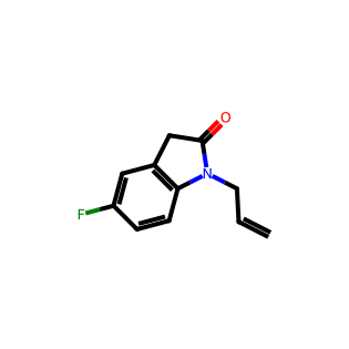 C=CCN1C(=O)Cc2cc(F)ccc21